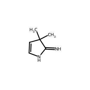 CC1(C)C=CNC1=N